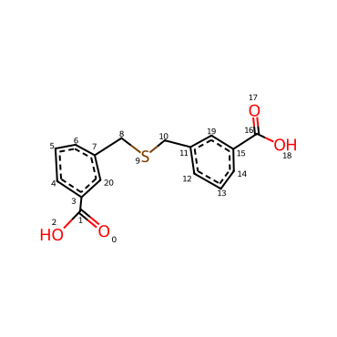 O=C(O)c1cccc(CSCc2cccc(C(=O)O)c2)c1